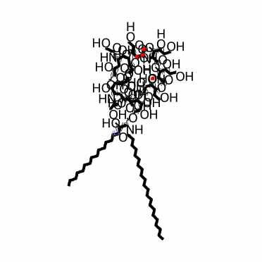 CCCCCCCCCCCCC/C=C/[C@@H](O)[C@H](CO[C@@H]1OC(CO)[C@@H](O[C@@H]2OC(CO)[C@H](O[C@@H]3OC(CO)[C@H](O)[C@H](O[C@@H]4OC(CO)[C@H](O)[C@H](O[C@@H]5OC(CO)[C@H](O)[C@H](O[C@]6(C(=O)O)CC(O)[C@@H](NC(=O)CO)C([C@H](O)[C@@H](CO)O[C@]7(C(=O)O)CC(O)[C@@H](NC(=O)CO)C([C@H](O)[C@H](O)CO)O7)O6)C5O)C4NC(C)=O)C3O)[C@H](O)C2O)[C@H](O)C1O)NC(=O)CCCCCCCCCCCCCCCCCCCCC